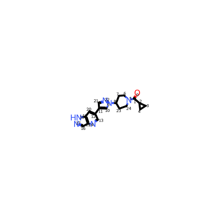 O=C(C1CC1)N1CCC(n2cc(-c3cnc4cn[nH]c4c3)cn2)CC1